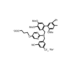 COc1cc(CN(Cc2cc(C#N)cc(C(F)(F)F)c2)c2ncc(OCCCC(=O)[O-])cn2)c(-c2cc(C(C)C)c(C)cc2OC)cc1OC.[Na+]